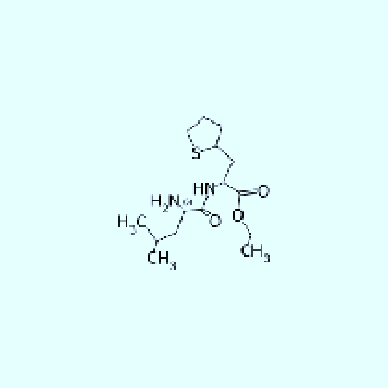 CCOC(=O)C(CC1CCCS1)NC(=O)[C@@H](N)CC(C)C